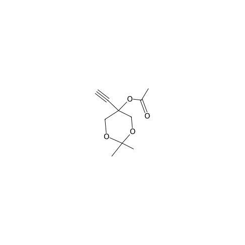 C#CC1(OC(C)=O)COC(C)(C)OC1